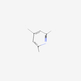 [CH2]CCc1cc(CCCCCCCC)nc(CCCCCCCC)c1